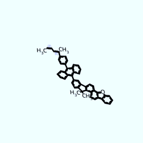 C/C=C\C=C(/C)c1ccc(-c2c3ccccc3c(-c3ccc4c(c3)-c3ccc5c(ccc6c7ccccc7oc56)c3C4(C)C)c3ccccc23)cc1